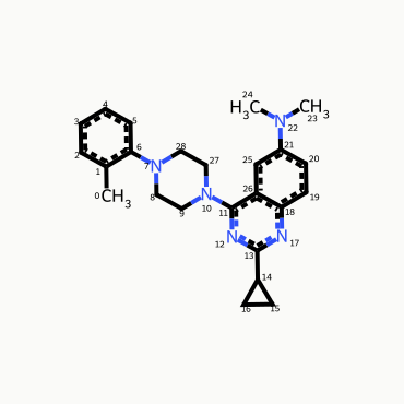 Cc1ccccc1N1CCN(c2nc(C3CC3)nc3ccc(N(C)C)cc23)CC1